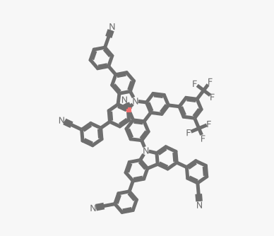 N#Cc1cccc(-c2ccc3c(c2)c2cc(-c4cccc(C#N)c4)ccc2n3-c2ccc(C#N)c(-c3cc(-c4cc(C(F)(F)F)cc(C(F)(F)F)c4)ccc3-n3c4ccc(-c5cccc(C#N)c5)cc4c4cc(-c5cccc(C#N)c5)ccc43)c2)c1